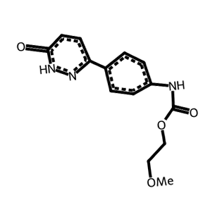 COCCOC(=O)Nc1ccc(-c2ccc(=O)[nH]n2)cc1